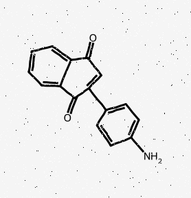 Nc1ccc(C2=CC(=O)c3ccccc3C2=O)cc1